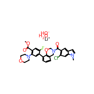 COC(=O)c1cc(F)c(-c2cccc3c2OCN(C(=O)c2cc4ccn(C)c4cc2Cl)C3)cc1N1CCOCC1.O.[Li+].[OH-]